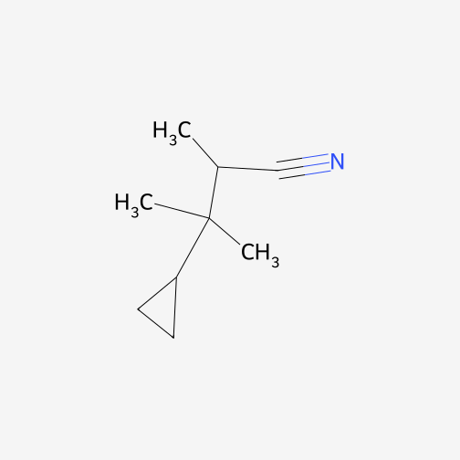 CC(C#N)C(C)(C)C1CC1